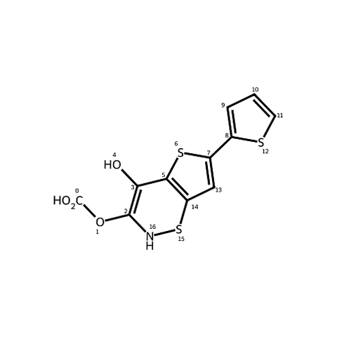 O=C(O)OC1=C(O)c2sc(-c3cccs3)cc2SN1